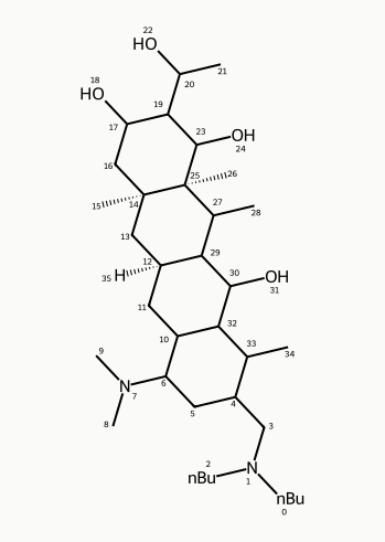 CCCCN(CCCC)CC1CC(N(C)C)C2C[C@H]3C[C@@]4(C)CC(O)C(C(C)O)C(O)[C@@]4(C)C(C)C3C(O)C2C1C